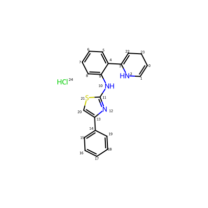 C1=CNC(c2ccccc2Nc2nc(-c3ccccc3)cs2)=CC1.Cl